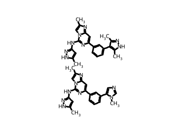 Cc1cn2c(Nc3cc(C)[nH]n3)nc(-c3cccc(-c4c(C)n[nH]c4C)c3)cc2n1.Cc1cn2c(Nc3cc(C)[nH]n3)nc(-c3cccc(-c4cncn4C)c3)cc2n1